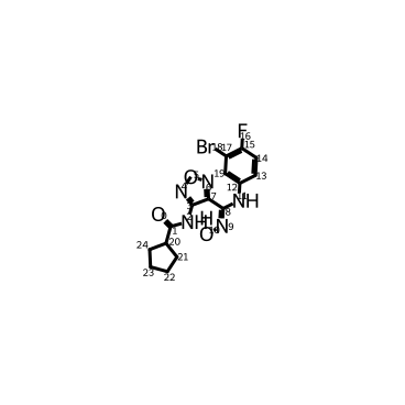 O=C(Nc1nonc1/C(=N\O)Nc1ccc(F)c(Br)c1)C1CCCC1